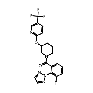 O=C(c1cccc(F)c1-n1nccn1)N1CCCC(Oc2ccc(C(F)(F)F)cn2)C1